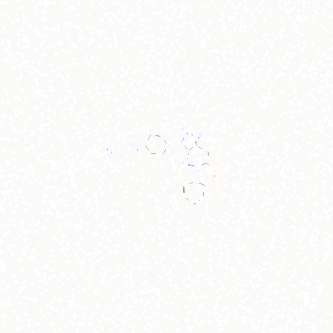 CN1CCN(c2ccc(-c3n[nH]c4cc(=O)n(-c5c(F)cccc5OC5CC5)nc34)cc2)CC1